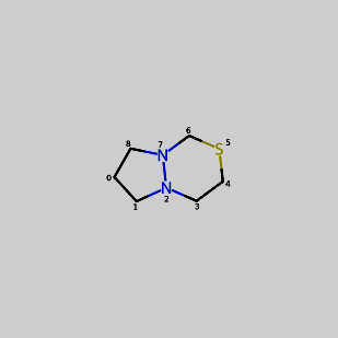 C1CN2CCSCN2C1